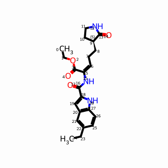 CCOC(=O)C(=CCC[C@H]1CCNC1=O)NC(=O)c1cc2cc(CC)ccc2[nH]1